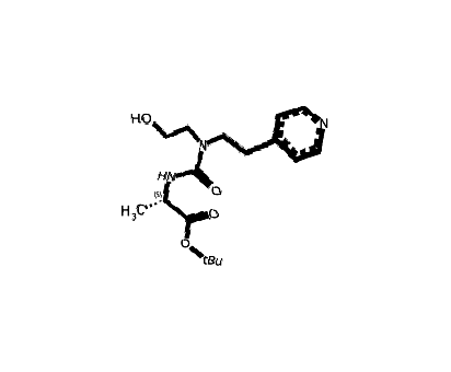 C[C@H](NC(=O)N(CCO)CCc1ccncc1)C(=O)OC(C)(C)C